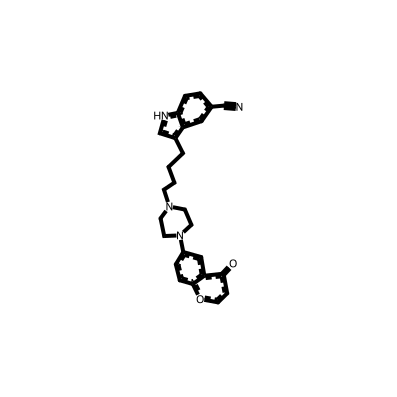 N#Cc1ccc2[nH]cc(CCCCN3CCN(c4ccc5occc(=O)c5c4)CC3)c2c1